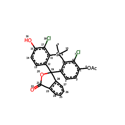 CC(=O)Oc1ccc2c(c1Cl)[Si](C)(C)c1c(ccc(O)c1Cl)C21OC(=O)c2ccccc21